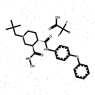 CC(C)(C)CN1CC[C@H](C(=O)Nc2ccc(Oc3ccccc3)cc2)[C@@H](C(=O)NO)C1.O=C(O)C(F)(F)F